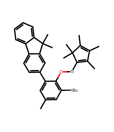 CC1=C(C)C(C)(C)[C]([Ti][O]c2c(-c3ccc4c(c3)C(C)(C)c3ccccc3-4)cc(C)cc2C(C)(C)C)=C1C